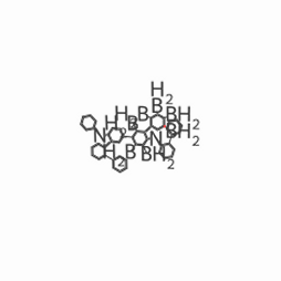 Bc1c(B)c(B)c2c(c1B)c1c(B)c(-c3ccc4c(c3)c3c(-c5ccccc5)cccc3n4-c3ccccc3)c(B)c(B)c1n2-c1ccccc1-c1ccccc1